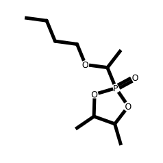 CCCCOC(C)P1(=O)OC(C)C(C)O1